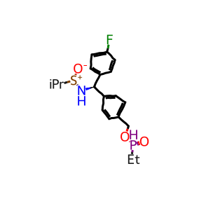 CC[PH](=O)OCc1ccc([C@@H](N[S+]([O-])C(C)C)c2ccc(F)cc2)cc1